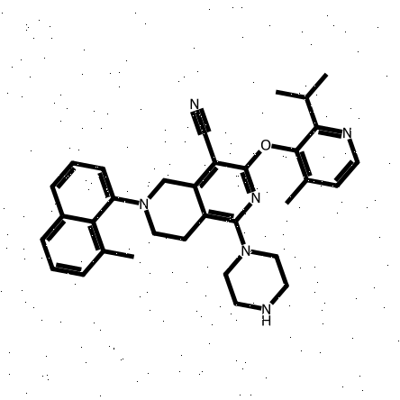 Cc1ccnc(C(C)C)c1Oc1nc(N2CCNCC2)c2c(c1C#N)CN(c1cccc3cccc(C)c13)CC2